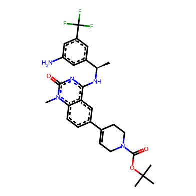 C[C@@H](Nc1nc(=O)n(C)c2ccc(C3=CCN(C(=O)OC(C)(C)C)CC3)cc12)c1cc(N)cc(C(F)(F)F)c1